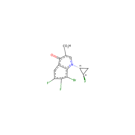 O=C(O)c1cn([C@@H]2C[C@H]2F)c2c(Br)c(F)c(F)cc2c1=O